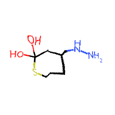 NNC1CCSC(O)(O)C1